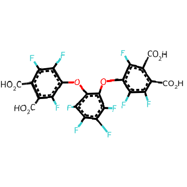 O=C(O)c1c(F)c(F)c(Oc2c(F)c(F)c(F)c(F)c2Oc2c(F)c(F)c(C(=O)O)c(C(=O)O)c2F)c(F)c1C(=O)O